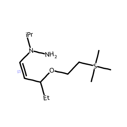 CCC(/C=C\N(N)C(C)C)OCCS(C)(C)C